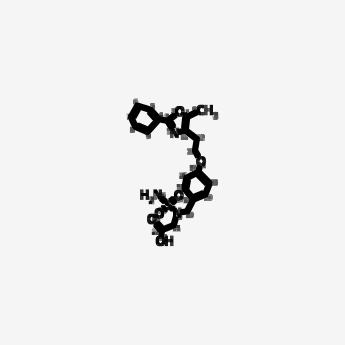 Cc1oc(-c2ccccc2)nc1CCOc1ccc(CN(CC(=O)O)S(N)(=O)=O)cc1